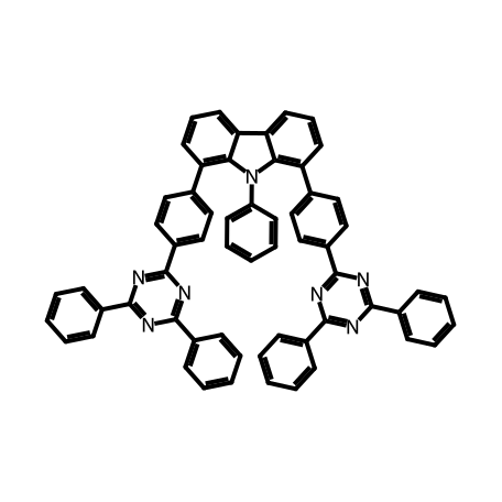 c1ccc(-c2nc(-c3ccccc3)nc(-c3ccc(-c4cccc5c6cccc(-c7ccc(-c8nc(-c9ccccc9)nc(-c9ccccc9)n8)cc7)c6n(-c6ccccc6)c45)cc3)n2)cc1